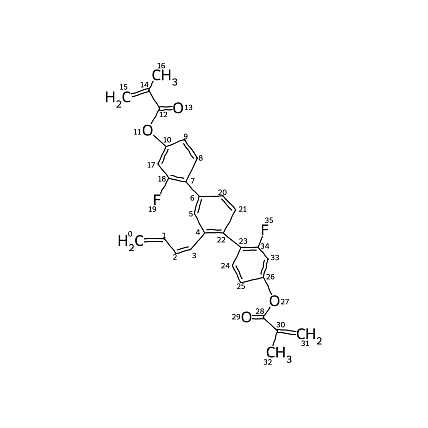 C=C/C=C\c1cc(-c2ccc(OC(=O)C(=C)C)cc2F)ccc1-c1ccc(OC(=O)C(=C)C)cc1F